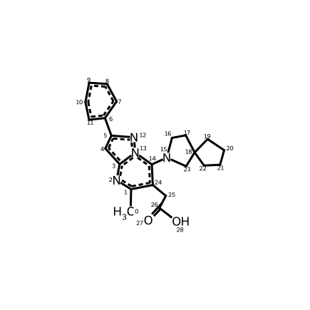 Cc1nc2cc(-c3ccccc3)nn2c(N2CCC3(CCCC3)C2)c1CC(=O)O